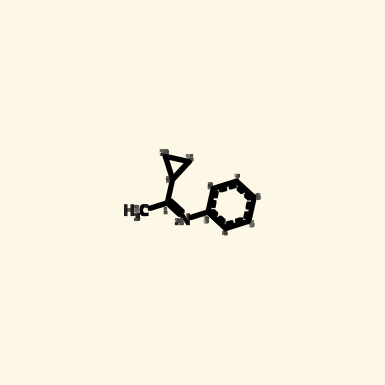 CC(=Nc1ccccc1)C1CC1